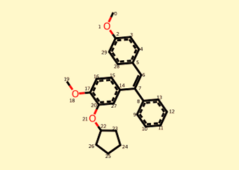 COc1ccc(C=C(c2ccccc2)c2ccc(OC)c(OC3CCCC3)c2)cc1